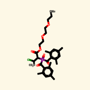 COCCOCCOCCOC(=O)C(C(Cl)C(=O)O)P(=O)(C(=O)c1c(C)cc(C)cc1C)C(=O)c1c(C)cc(C)cc1C